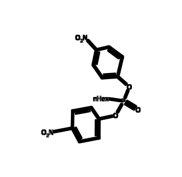 CCCCCCP(=O)(Oc1ccc([N+](=O)[O-])cc1)Oc1ccc([N+](=O)[O-])cc1